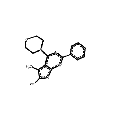 Cc1c(C#N)sc2nc(-c3ccccc3)nc(N3CCOCC3)c12